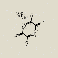 O=C([O-])C(=O)[O-].O=C([O-])C(=O)[O-].[Cu+2].[K+].[K+]